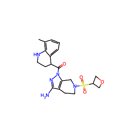 Cc1cccc2c1NCCC2C(=O)n1nc(N)c2c1CN(S(=O)(=O)C1COC1)CC2